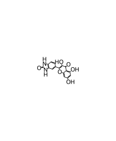 O=c1[nH]c2ccc(-c3oc4cc(O)cc(O)c4c(=O)c3O)cc2[nH]1